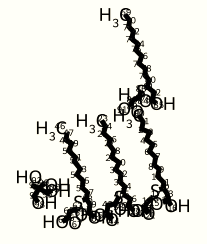 CCCCCCCCCCCCC(CC(=O)O)SCCC(=O)O.CCCCCCCCCCCCC(CC(=O)O)SCCC(=O)O.CCCCCCCCCCCCC(CC(=O)O)SCCC(=O)O.CCCCCCCCCCCCC(CC(=O)O)SCCC(=O)O.OCC(CO)(CO)CO